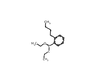 CCCCc1ccccc1P(OCC)OCC